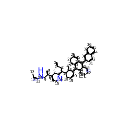 C=CCC(C1CC(C(=C)CN/C=C\C)=CC=N1)C1CC=CC(C2C3=C(C=CCC3)C(c3ccc4ccccc4c3)=C(/C=C\CC)C2C)C1C